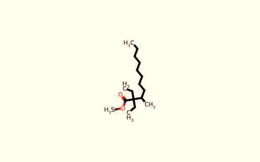 CCCCCCCCC(C)C(CC)(CC)C(=O)O[SiH3]